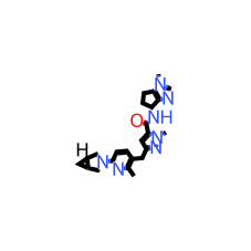 Cc1nc(N2CC3C[C@H]3C2)ccc1Cc1cc(C(=O)N[C@@H]2CCc3c2ncn3C)n(C)n1